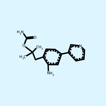 CC(C)(Cc1ccc(-c2cccnc2)cc1N)OC(N)=O